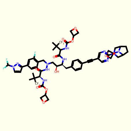 CC(C)(C(NC(=O)OC1COC1)C(=O)N[C@@H](Cc1ccc(C#Cc2cnc(N3CC4CCC(C3)N4C3COC3)nc2)cc1)[C@@H](O)CN(Cc1c(F)cc(-c2ccn(C(F)F)n2)cc1F)NC(=O)[C@@H](NC(=O)OC1COC1)C(C)(C)C(F)(F)F)C(F)(F)F